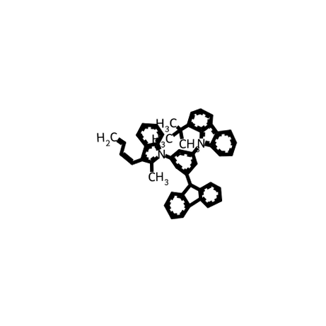 C=C/C=C\c1c(C)n(-c2cc(C3c4ccccc4-c4ccccc43)cc(-n3c4ccccc4c4cccc(C(C)(C)C)c43)c2)c2ccccc12